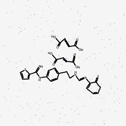 N=C(Nc1ccc(CCNC=NC2=CC=CCC2=S)cc1)c1cccs1.O=C(O)/C=C/C(=O)O.O=C(O)/C=C/C(=O)O